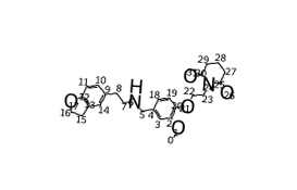 COc1cc(CNCCc2ccc3c(c2)CCO3)ccc1OCCN1C(=O)CCCC1=O